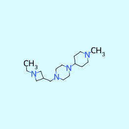 CCN1CC(CN2CCN(C3CCN(C)CC3)CC2)C1